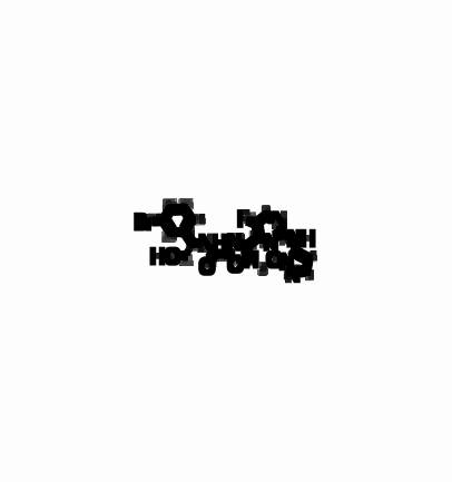 Cn1nccc1Nc1ncc(F)c(-c2coc(C(=O)N[C@H](CO)c3cccc(Br)c3)n2)n1